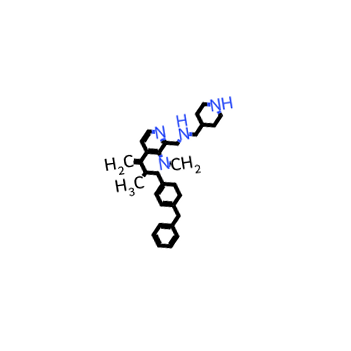 C=Nc1c(C(=C)C(C)CC2=CC=C(Cc3ccccc3)CC2)ccnc1CNCC1CCNCC1